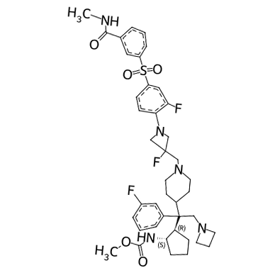 CNC(=O)c1cccc(S(=O)(=O)c2ccc(N3CC(F)(CN4CCC(C(CN5CCC5)(c5cccc(F)c5)[C@H]5CCC[C@@H]5NC(=O)OC)CC4)C3)c(F)c2)c1